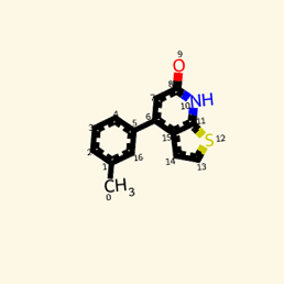 Cc1cccc(-c2cc(=O)[nH]c3sccc23)c1